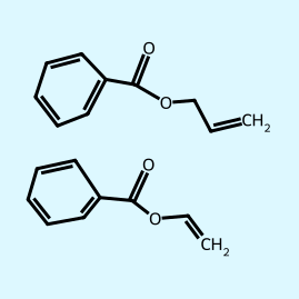 C=CCOC(=O)c1ccccc1.C=COC(=O)c1ccccc1